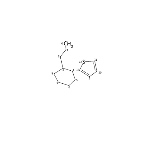 CCCC1CCCCC1.c1ccsc1